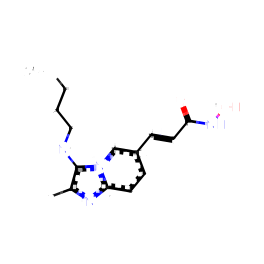 COCCCNc1c(C(C)C)nc2ccc(/C=C/C(=O)NO)cn12